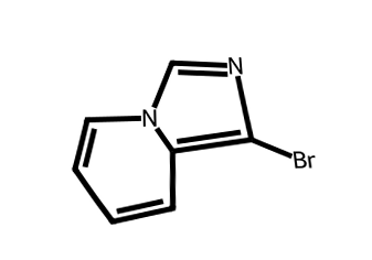 Brc1ncn2ccccc12